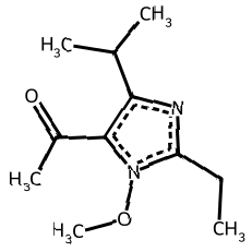 CCc1nc(C(C)C)c(C(C)=O)n1OC